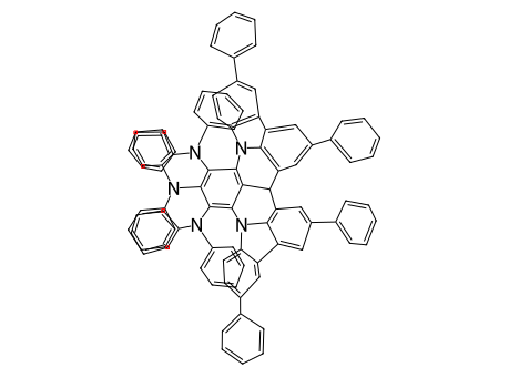 c1ccc(-c2ccc3c(c2)c2cc(-c4ccccc4)cc4c2n3-c2c3c(c(N(c5ccccc5)c5ccccc5)c(N(c5ccccc5)c5ccccc5)c2N(c2ccccc2)c2ccccc2)-n2c5ccc(-c6ccccc6)cc5c5cc(-c6ccccc6)cc(c52)C34)cc1